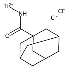 O=C([NH][Ti+2])C12CC3CC(CC(C3)C1)C2.[Cl-].[Cl-]